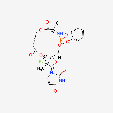 C[C@@H]1N[P@](=O)(Oc2ccccc2)OC[C@H]2O[C@@H](n3ccc(=O)[nH]c3=O)[C@](C)(F)[C@@H]2OC(=O)CCCOC1=O